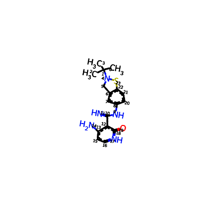 CC(C)(C)N1Cc2cc(NC(=N)c3c(N)cc[nH]c3=O)ccc2S1